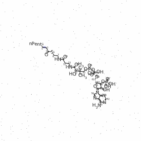 CCCCC/C=C/C(=O)SCCNC(=O)CCNC(=O)[C@H](O)C(C)(C)COP(=O)(O)OP(=O)(O)OC[C@H]1O[C@@H](n2cnc3c(N)ncnc32)[C@H](O)[C@@H]1OP(=O)(O)O